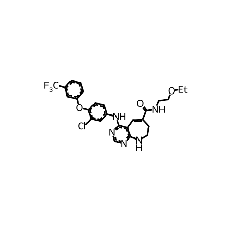 CCOCCNC(=O)C1=Cc2c(ncnc2Nc2ccc(Oc3cccc(C(F)(F)F)c3)c(Cl)c2)NCC1